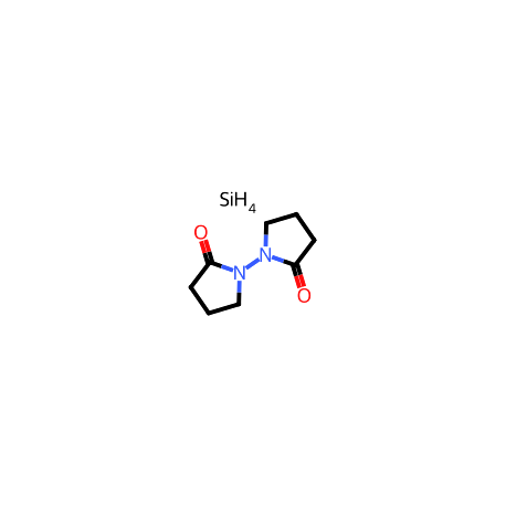 O=C1CCCN1N1CCCC1=O.[SiH4]